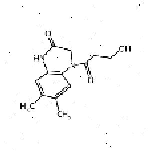 Cc1cc2c(cc1C)N(C(=O)CCO)CC(=O)N2